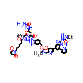 CCNC(=O)Nc1nc2cc(-c3ccc(CN(C)C(=O)OCc4ccc(NC(=O)[C@H](CCCNC(N)=O)NC(=O)[C@@H](NC(=O)CCCCCN5C(=O)C=CC5=O)C(C)C)cc4)nc3)cc(-c3ccccn3)c2[nH]1